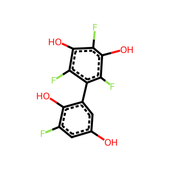 Oc1cc(F)c(O)c(-c2c(F)c(O)c(F)c(O)c2F)c1